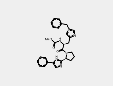 COC(=O)N[C@@H](Cc1cn(Cc2ccccc2)cn1)C(=O)N1CCC[C@H]1c1ncc(-c2ccccc2)[nH]1